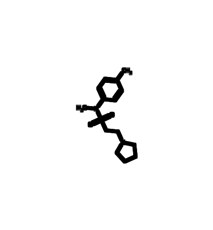 Cc1ccc(N(C)S(=O)(=O)CCN2CCCC2)cc1